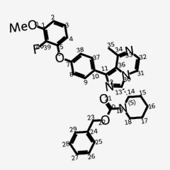 COc1cccc(Oc2ccc(-c3nc([C@@H]4CCCCN4C(=O)OCc4ccccc4)n4ccnc(C)c34)cc2)c1F